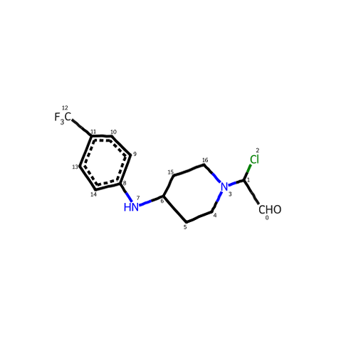 O=CC(Cl)N1CCC(Nc2ccc(C(F)(F)F)cc2)CC1